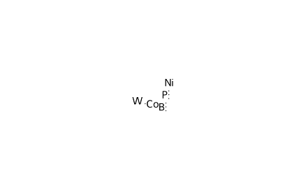 [B].[Co].[Ni].[P].[W]